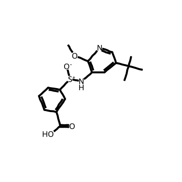 COc1ncc(C(C)(C)C)cc1N[S+]([O-])c1cccc(C(=O)O)c1